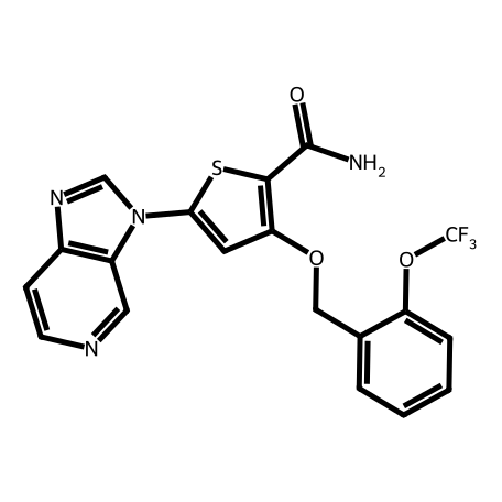 NC(=O)c1sc(-n2cnc3ccncc32)cc1OCc1ccccc1OC(F)(F)F